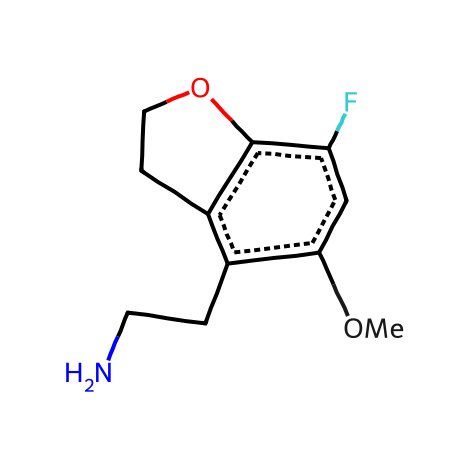 COc1cc(F)c2c(c1CCN)CCO2